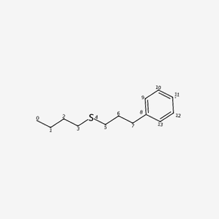 CCCCSCCCc1cc[c]cc1